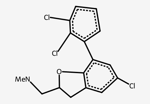 CNCC1Cc2cc(Cl)cc(-c3cccc(Cl)c3Cl)c2O1